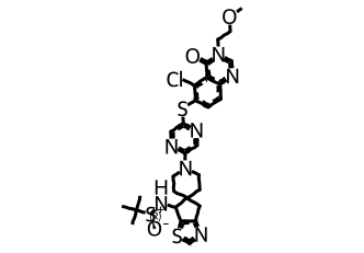 COCCn1cnc2ccc(Sc3cnc(N4CCC5(CC4)Cc4ncsc4C5N[S@@+]([O-])C(C)(C)C)cn3)c(Cl)c2c1=O